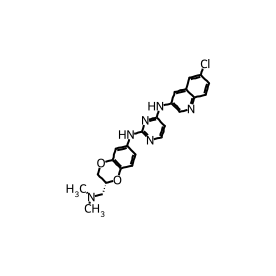 CN(C)C[C@@H]1COc2cc(Nc3nccc(Nc4cnc5ccc(Cl)cc5c4)n3)ccc2O1